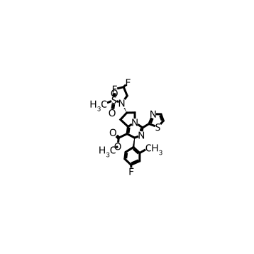 COC(=O)C1=C2C[C@H](N(CC(F)F)S(C)(=O)=O)CN2C(c2nccs2)=N[C@H]1c1ccc(F)cc1C